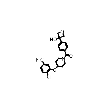 O=C(c1ccc(C2(O)COC2)cc1)N1CCC(Oc2cc(C(F)(F)F)ccc2Cl)CC1